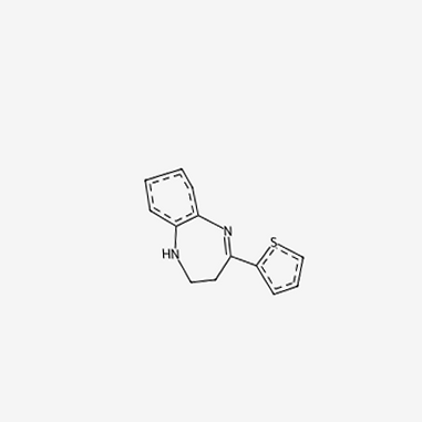 c1csc(C2=Nc3ccccc3NCC2)c1